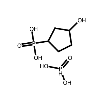 O=P(O)(O)C1CCC(O)C1.O=[PH](O)O